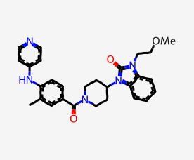 COCCn1c(=O)n(C2CCN(C(=O)c3ccc(Nc4ccncc4)c(C)c3)CC2)c2ccccc21